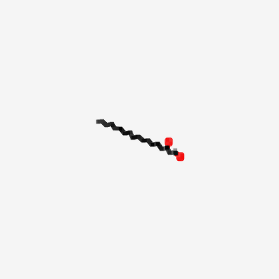 CCCCCCCCCCCCCCCC(=O)C[C]=O